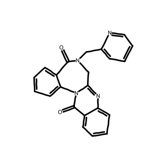 O=C1c2ccccc2-n2c(nc3ccccc3c2=O)CN1Cc1ccccn1